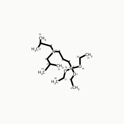 CCO[Si](CCCN(CC(C)C)CC(C)C)(OCC)OCC